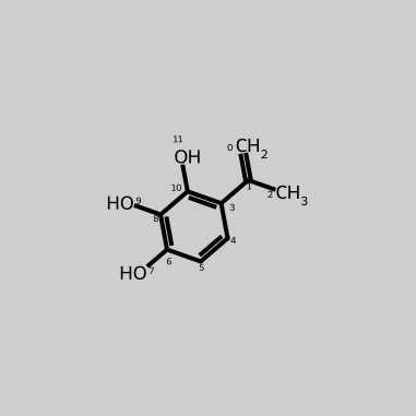 C=C(C)c1ccc(O)c(O)c1O